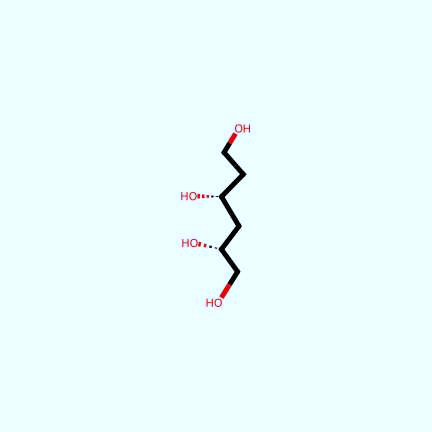 OCC[C@@H](O)C[C@@H](O)CO